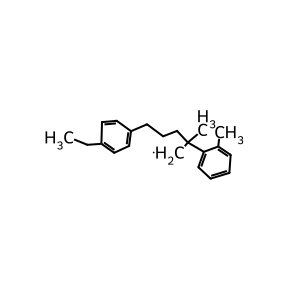 [CH2]C(C)(CCCc1ccc(CC)cc1)c1ccccc1C